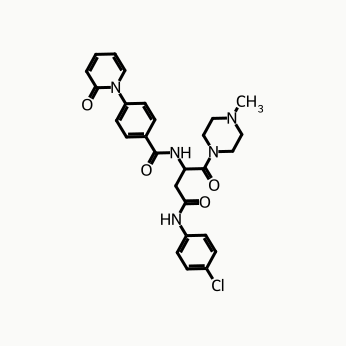 CN1CCN(C(=O)C(CC(=O)Nc2ccc(Cl)cc2)NC(=O)c2ccc(-n3ccccc3=O)cc2)CC1